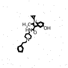 Cc1c(C(=O)NC2CCN(CCc3ccccc3)CC2)c2cc(O)ccc2n1C1CC1